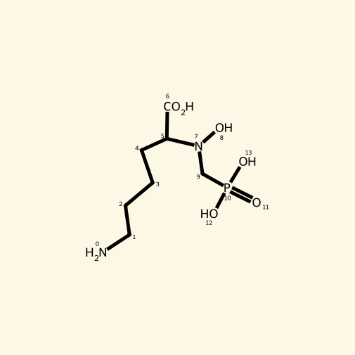 NCCCCC(C(=O)O)N(O)CP(=O)(O)O